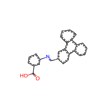 O=C(O)c1cccc(N=Cc2ccc3c4ccccc4c4ccccc4c3c2)c1